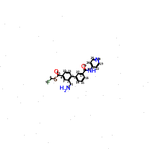 NCc1cc(C(=O)SCF)ccc1-c1cccc(C(=O)Nc2ccncc2)c1